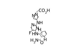 NC(=O)[C@@H]1[C@@H](Nc2nc(Nc3cnn(CC(=O)O)c3)ncc2F)[C@H]2C=C[C@H]1C2